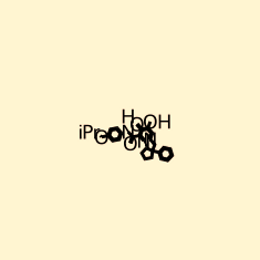 CC(C)Oc1ccc(NC(=O)c2nn(CC3(c4ccccc4)CCCC3)cc(O)c2=O)cc1